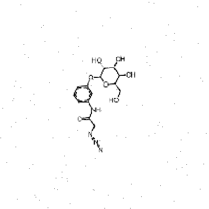 [N-]=[N+]=NCC(=O)Nc1cccc(O[C@@H]2O[C@H](CO)[C@H](O)[C@H](O)[C@H]2O)c1